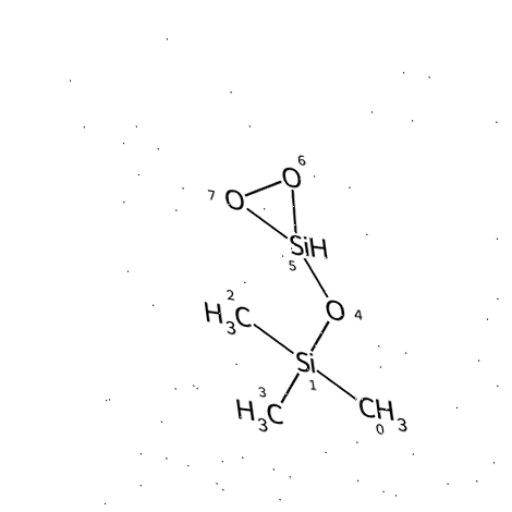 C[Si](C)(C)O[SiH]1OO1